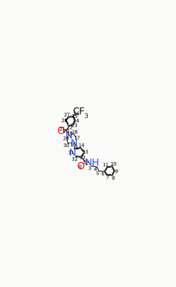 O=C(NCCCc1ccccc1)c1ccc(N2CCN(C(=O)c3ccc(C(F)(F)F)cc3)CC2)nc1